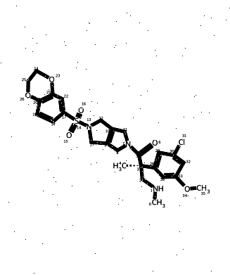 CNC[C@@](C)(C(=O)N1CC2=C(C1)CN(S(=O)(=O)c1ccc3c(c1)OCCO3)C2)c1cc(Cl)cc(OC)c1